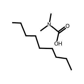 CCCCCCCCC.CN(C)C(=O)O